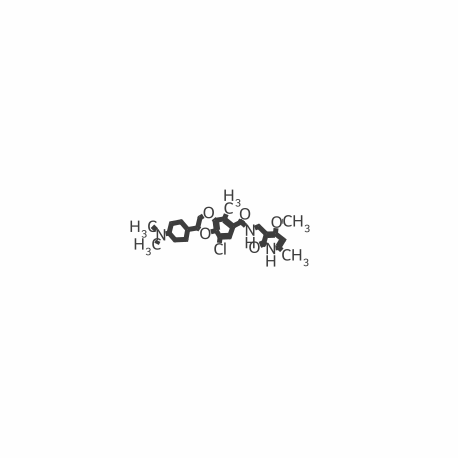 COc1cc(C)[nH]c(=O)c1CNC(=O)c1cc(Cl)c2c(c1C)OCC(C1CCC(N(C)C)CC1)O2